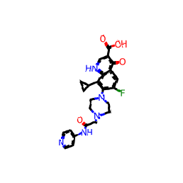 O=C(CN1CCN(c2c(F)cc3c(=O)c(C(=O)O)c[nH]c3c2C2CC2)CC1)Nc1ccncc1